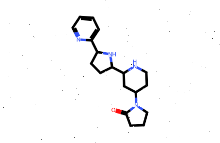 O=C1CCCN1C1CCNC(C2CCC(c3ccccn3)N2)C1